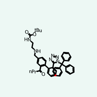 CCCC(=O)c1cc(CNCCNC(=O)OC(C)(C)C)ccc1-c1ccccc1-c1nnnn1C(c1ccccc1)(c1ccccc1)c1ccccc1